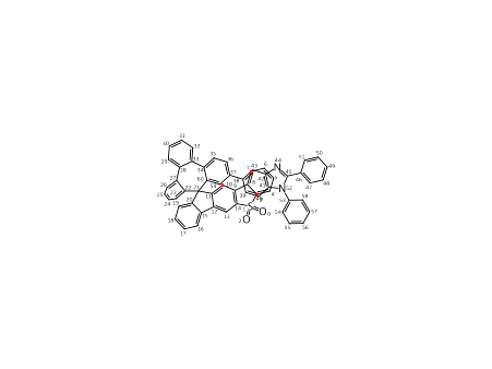 O=S1(=O)c2ccccc2-c2cc3c(cc21)-c1ccccc1C31c2ccccc2-c2ccccc2-c2ccc(-c3ccc4c(c3)nc(-c3ccccc3)n4-c3ccccc3)cc21